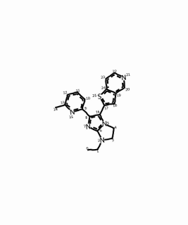 CCN1CCn2c1nc(-c1cccc(C)n1)c2-c1cc2cnccc2s1